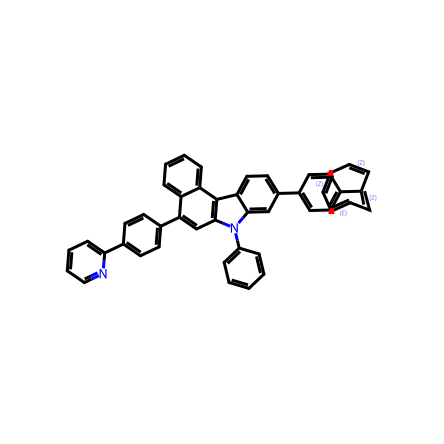 C1=C\C=C\C=C(c2ccc(-c3ccc4c5c6ccccc6c(-c6ccc(-c7ccccn7)cc6)cc5n(-c5ccccc5)c4c3)cc2)\C=C/1